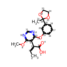 CC=C(C(=O)O)c1c(OC)ncnc1Oc1cccc(C2(C)OCCO2)c1